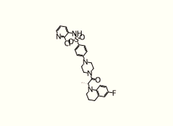 C[C@H](C(=O)N1CCN(c2ccc(S(=O)(=O)Nc3cccnc3Cl)cc2)CC1)N1CCCc2cc(F)ccc21